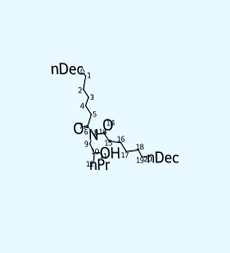 CCCCCCCCCCCCCCCC(=O)N(CC(O)CCC)C(=O)CCCCCCCCCCCCCCC